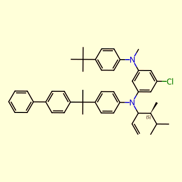 C=CC([C@@H](C)C(C)C)N(c1ccc(C(C)(C)c2ccc(-c3ccccc3)cc2)cc1)c1cc(Cl)cc(N(C)c2ccc(C(C)(C)C)cc2)c1